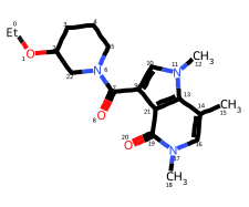 CCOC1CCCN(C(=O)c2cn(C)c3c(C)cn(C)c(=O)c23)C1